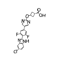 O=C(O)[C@H]1C[C@@H](Oc2ncc(-c3cc(F)c(-c4nc5cc(Cl)ccc5[nH]4)c(F)c3)cn2)C1